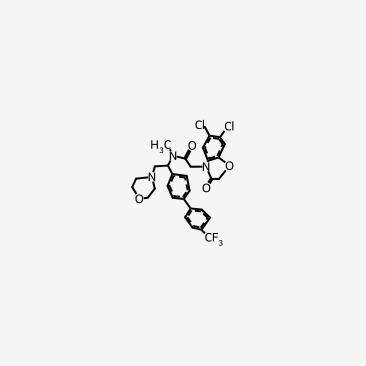 CN(C(=O)CN1C(=O)COc2cc(Cl)c(Cl)cc21)C(CN1CCOCC1)c1ccc(-c2ccc(C(F)(F)F)cc2)cc1